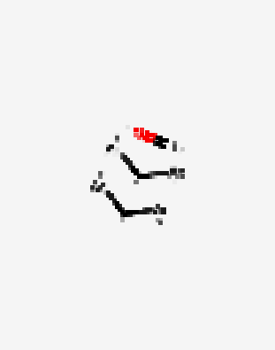 CC(=O)CC(C)=O.CC(=O)CC(C)=O.[O]=[Ti]